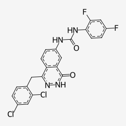 O=C(Nc1ccc2c(Cc3ccc(Cl)cc3Cl)n[nH]c(=O)c2c1)Nc1ccc(F)cc1F